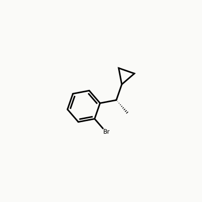 C[C@H](c1ccccc1Br)C1CC1